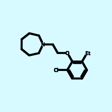 CCc1cccc(Cl)c1OCCN1CCCCCC1